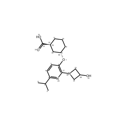 CC(C)c1ccc(O[C@H]2CCC[C@H](C(=O)O)C2)c(N2CC(O)C2)n1